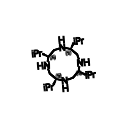 CC(C)[C@H]1CN[C@@H](C(C)C)CN[C@@H](C(C)C)CN[C@@H](C(C)C)CN1